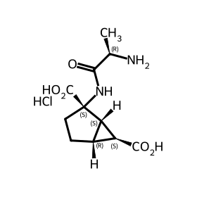 C[C@@H](N)C(=O)N[C@@]1(C(=O)O)CC[C@H]2[C@H](C(=O)O)[C@H]21.Cl